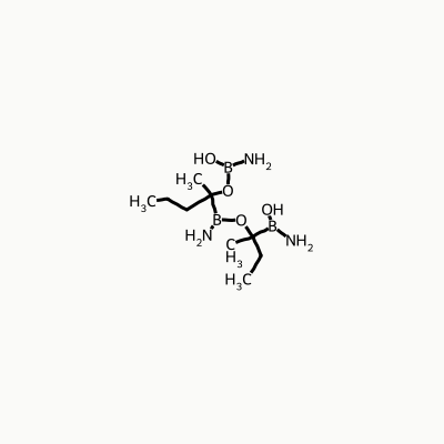 CCCC(C)(OB(N)O)B(N)OC(C)(CC)B(N)O